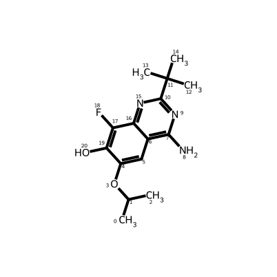 CC(C)Oc1cc2c(N)nc(C(C)(C)C)nc2c(F)c1O